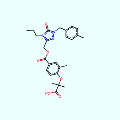 CCCn1c(COC(=O)c2ccc(OC(C)(C)C(=O)O)c(C)c2)nn(Cc2ccc(C)cc2)c1=O